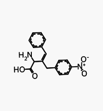 NC(C(=O)O)C(=Cc1ccccc1)Cc1ccc([N+](=O)[O-])cc1